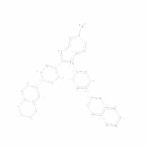 [C-]#[N+]c1ccc2c(c1)nc(-c1ccc(-c3ccc4ccccc4c3)cc1)n2-c1ccc(-c2ccc3ccccc3c2)cc1